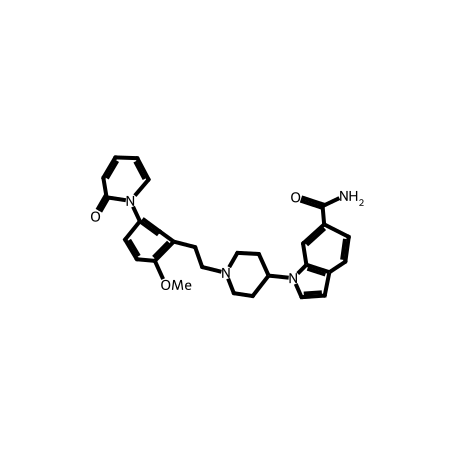 COc1ccc(-n2ccccc2=O)cc1CCN1CCC(n2ccc3ccc(C(N)=O)cc32)CC1